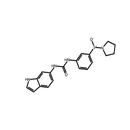 O=C(Nc1cccc([S+]([O-])N2CCCC2)c1)Nc1ccc2cc[nH]c2c1